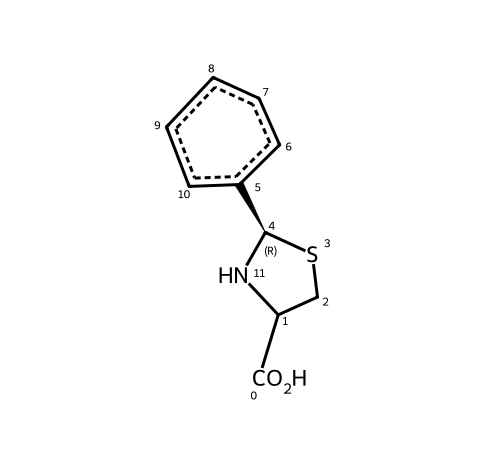 O=C(O)C1CS[C@H](c2ccccc2)N1